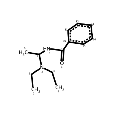 CCN(CC)C(C)NC(=O)c1cc[c]cc1